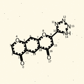 O=c1ccoc2cc3oc(-c4nnn[nH]4)cc(=O)c3cc12